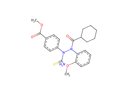 COC(=O)c1ccc(N(C(N)=S)N(C(=O)C2CCCCC2)c2ccccc2OC)cc1